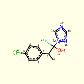 CC(c1ccc(Cl)cc1)C(O)(F)n1cncn1